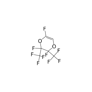 FC1=COC(F)(C(F)(F)F)C(F)(C(F)(F)F)O1